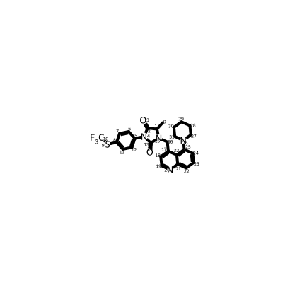 CC1C(=O)N(c2ccc(SC(F)(F)F)cc2)C(=O)N1Cc1ccnc2cccc(N3CCCCC3)c12